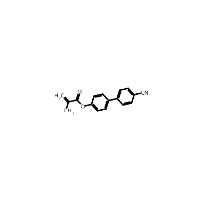 C=C(C)C(=O)Oc1ccc(-c2ccc(C#N)cc2)cc1